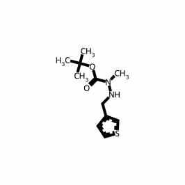 CN(NCc1ccsc1)C(=O)OC(C)(C)C